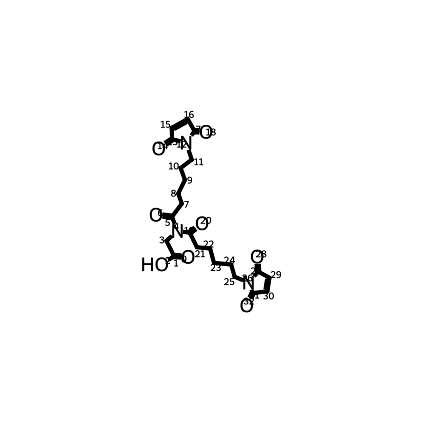 O=C(O)CN(C(=O)CCCCCN1C(=O)C=CC1=O)C(=O)CCCCCN1C(=O)C=CC1=O